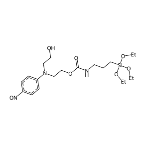 CCO[Si](CCCNC(=O)OCCN(CCO)c1ccc(N=O)cc1)(OCC)OCC